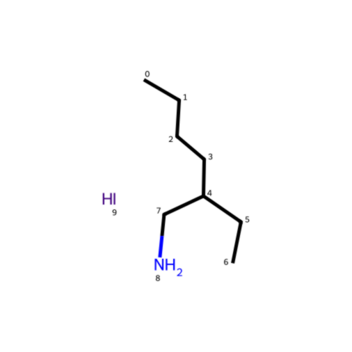 CCCCC(CC)CN.I